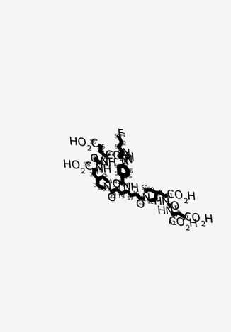 O=C(O)CC[C@H](NC(=O)NC(CC1CCN(C(=O)CCC(CCC(=O)N2CCC(C[C@H](NC(=O)N[C@@H](CCC(=O)O)C(=O)O)C(=O)O)CC2)NC(=O)c2ccc(-n3cc(CCCF)nn3)cc2)CC1)C(=O)O)C(=O)O